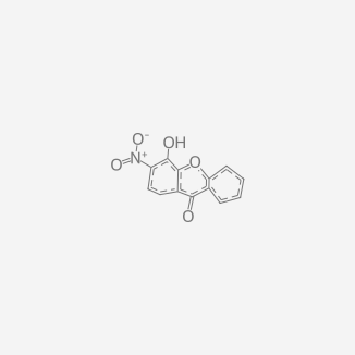 O=c1c2ccccc2oc2c(O)c([N+](=O)[O-])ccc12